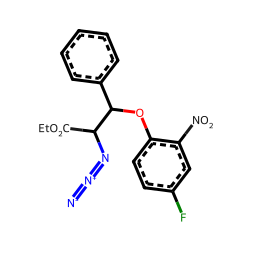 CCOC(=O)C(N=[N+]=[N-])C(Oc1ccc(F)cc1[N+](=O)[O-])c1ccccc1